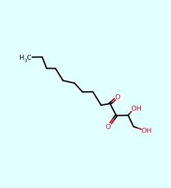 CCCCCCCCCC(=O)C(=O)C(O)CO